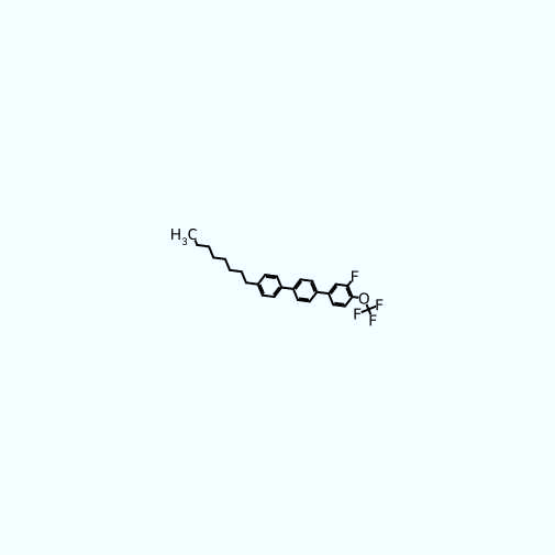 CCCCCCCCc1ccc(-c2ccc(-c3ccc(OC(F)(F)F)c(F)c3)cc2)cc1